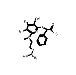 CCc1c(C#N)c(SC(C(N)=O)c2ccccc2)nc(N(C)CCOP(O)O)c1C#N